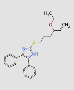 C=CC(CCCSc1nc(-c2ccccc2)c(-c2ccccc2)[nH]1)OCC